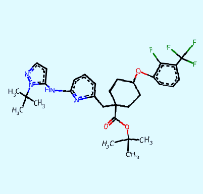 CC(C)(C)OC(=O)C1(Cc2cccc(Nc3ccnn3C(C)(C)C)n2)CCC(Oc2cccc(C(F)(F)F)c2F)CC1